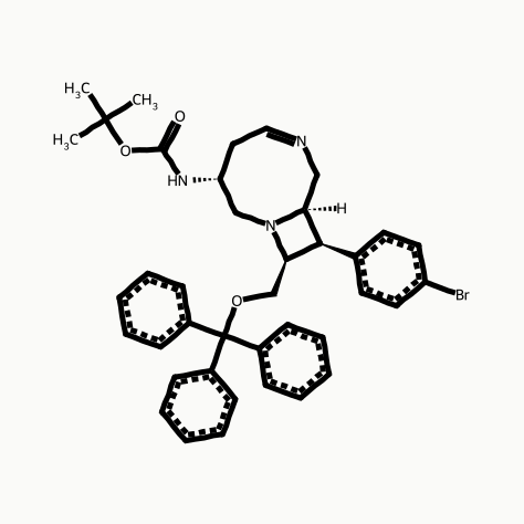 CC(C)(C)OC(=O)N[C@@H]1C/C=N\C[C@H]2[C@@H](c3ccc(Br)cc3)[C@@H](COC(c3ccccc3)(c3ccccc3)c3ccccc3)N2C1